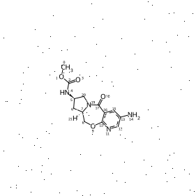 COC(=O)N[C@@H]1C[C@@H]2COc3ncc(N)cc3C(=O)N2C1